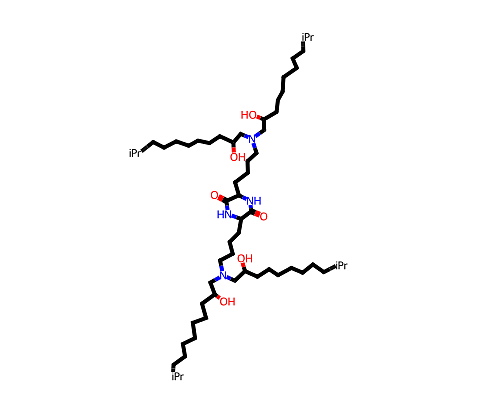 CC(C)CCCCCCCC(O)CN(CCCCC1NC(=O)C(CCCCN(CC(O)CCCCCCCC(C)C)CC(O)CCCCCCCC(C)C)NC1=O)CC(O)CCCCCCCC(C)C